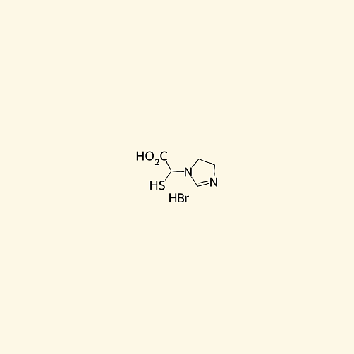 Br.O=C(O)C(S)N1C=NCC1